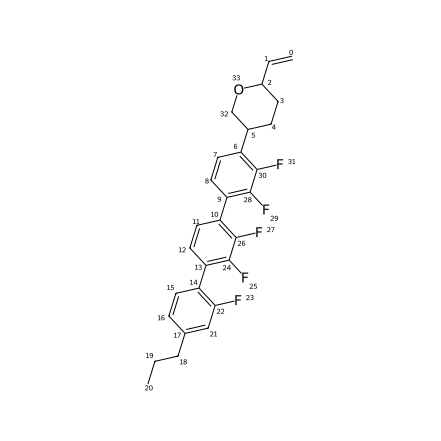 C=CC1CCC(c2ccc(-c3ccc(-c4ccc(CCC)cc4F)c(F)c3F)c(F)c2F)CO1